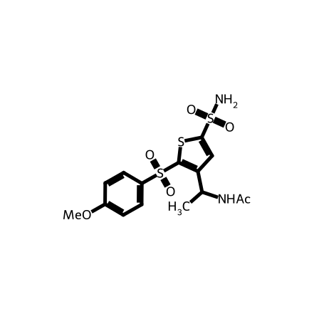 COc1ccc(S(=O)(=O)c2sc(S(N)(=O)=O)cc2C(C)NC(C)=O)cc1